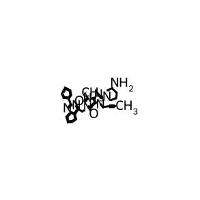 CC#CCn1c(N2CCCC(N)C2)nc2c1c(=O)n(Cc1nc(-c3ccccc3)nc3ccccc13)c(=O)n2C